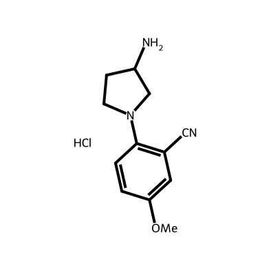 COc1ccc(N2CCC(N)C2)c(C#N)c1.Cl